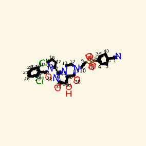 N#Cc1ccc(S(=O)(=O)CCN2CCn3c([C@@H]4CCCN4C(=O)c4c(Cl)cccc4Cl)nc(=O)c(O)c3C2=O)cc1